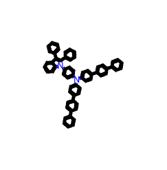 c1ccc(-c2ccc(-c3ccc(N(c4ccc(-c5ccc(-c6ccccc6)cc5)cc4)c4ccc(-n5c(-c6ccccc6)c(-c6ccccc6)c6ccccc65)cc4)cc3)cc2)cc1